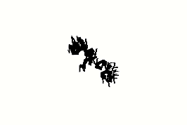 C[N+]1(C)C=Cc2c(-c3cnn(C4(CC#N)CN(C5CCN(C(=O)c6ccnc(C(F)(F)F)c6F)CC5)C4)c3)ncnc21